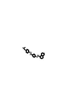 CC(C)Cc1ccc(N=Nc2ccc(N=Nc3cccc4ccccc34)cc2)cc1